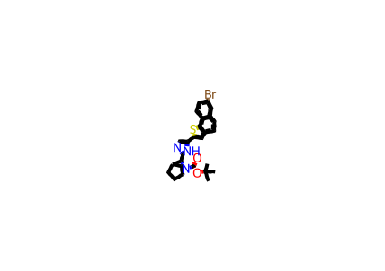 CC(C)(C)OC(=O)N1C2CCC(C2)C1c1ncc(-c2cc3ccc4cc(Br)ccc4c3s2)[nH]1